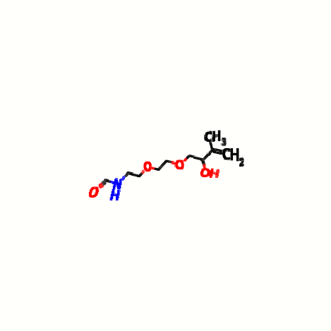 C=C(C)C(O)COCCOCCNC=O